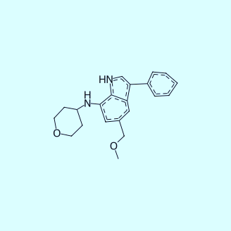 COCc1cc(NC2CCOCC2)c2[nH]cc(-c3ccccc3)c2c1